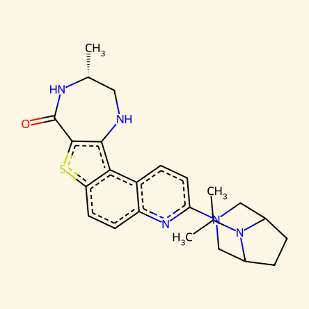 CC(C)N1C2CCC1CN(c1ccc3c(ccc4sc5c(c43)NC[C@@H](C)NC5=O)n1)C2